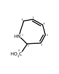 O=C(O)C1C=CC=CCN1